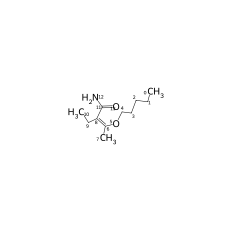 CCCCCOC(C)=C(CC)C(N)=O